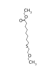 CCOCCSCCCCCCCC(=O)OCC